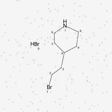 Br.BrCCC1CCNCC1